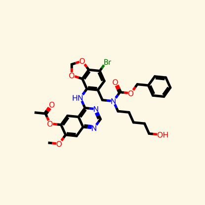 COc1cc2ncnc(Nc3c(CN(CCCCCO)C(=O)OCc4ccccc4)cc(Br)c4c3OCO4)c2cc1OC(C)=O